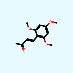 COc1cc(OC)c(C=CC(C)=O)c(OC)c1